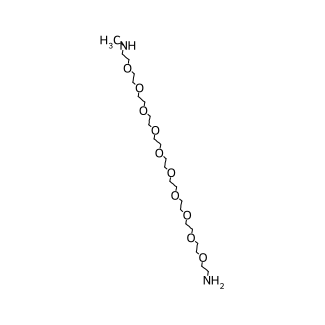 CNCCOCCOCCOCCOCCOCCOCCOCCOCCOCCOCCN